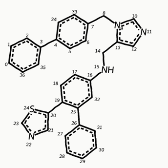 c1ccc(-c2ccc(Cn3cncc3CNc3ccc(-c4cncs4)c(-c4ccccc4)c3)cc2)cc1